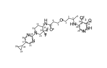 CC(CCOCCC(=O)NC1CCN(c2ncc(C3CC3)cn2)CC1(F)F)Nc1cn[nH]c(=O)c1C(F)(F)F